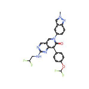 Cn1cc2cc(-n3cc4cnc(NCC(F)F)nc4c(-c4ccc(OC(F)F)cc4)c3=O)ccc2n1